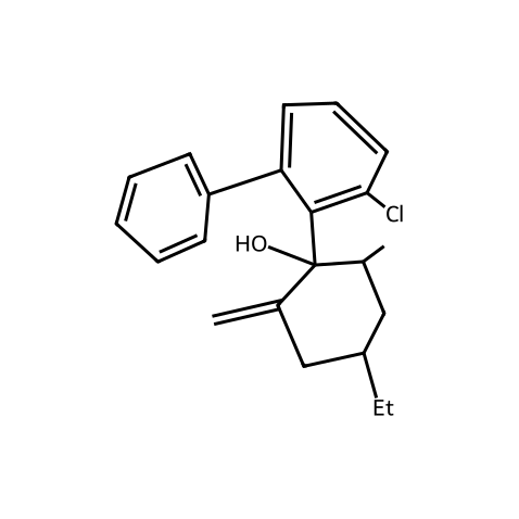 C=C1CC(CC)CC(C)C1(O)c1c(Cl)cccc1-c1ccccc1